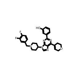 Oc1cccc(-c2nc(C3=CCOCC3)c3ncn(C4CCN(Cc5ccc(F)c(F)c5)CC4)c3n2)c1